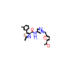 CC(=O)c1ccc(Cn2cc(NC(=O)c3nc(C)sc3-c3cccc(C)c3)cn2)o1